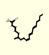 CCCCC=C/C=C/C=C\CCC(C)CCCCC(=O)O